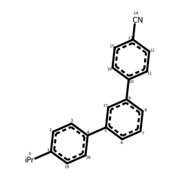 CC(C)c1ccc(-c2cccc(-c3ccc(C#N)cc3)c2)cc1